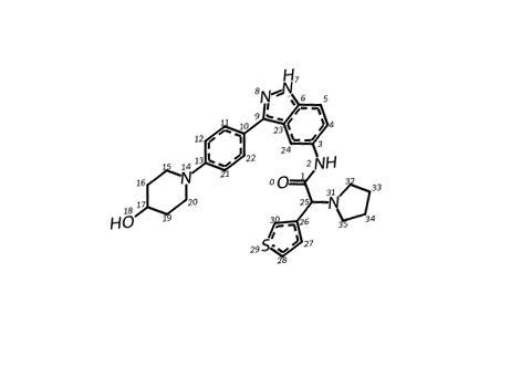 O=C(Nc1ccc2[nH]nc(-c3ccc(N4CCC(O)CC4)cc3)c2c1)C(c1ccsc1)N1CCCC1